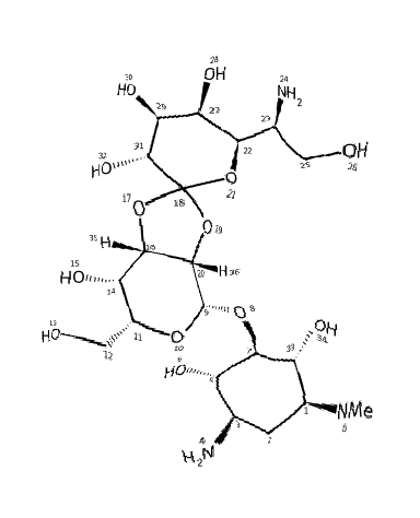 CN[C@H]1C[C@@H](N)[C@H](O)[C@@H](O[C@@H]2O[C@H](CO)[C@H](O)[C@@H]3OC4(O[C@H]23)O[C@H]([C@@H](N)CO)[C@H](O)[C@H](O)[C@H]4O)[C@@H]1O